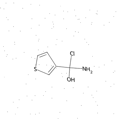 NC(O)(Cl)c1ccsc1